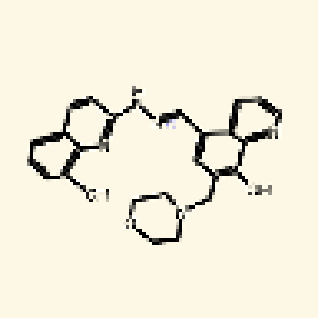 Oc1cccc2ccc(N/N=C/c3cc(CN4CCOCC4)c(O)c4ncccc34)nc12